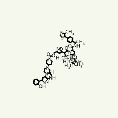 Cc1ncsc1-c1ccc([C@H](C)NC(=O)[C@H]2C[C@@H](O[Si](C)(C)C(C)(C)C)CN2C(=O)C(c2cc(COC(=O)N3CCC(N4CCN5c6cc(-c7ccccc7O)nnc6NC[C@H]5C4)CC3)no2)C(C)C)cc1